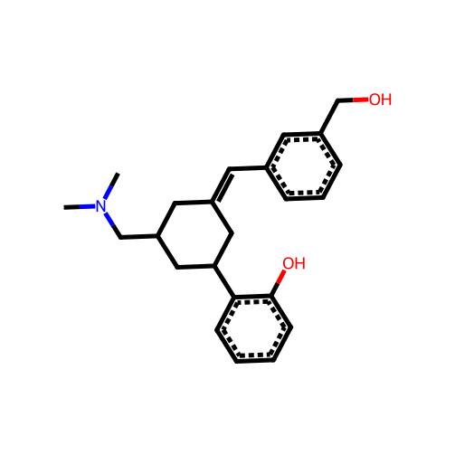 CN(C)CC1CC(=Cc2cccc(CO)c2)CC(c2ccccc2O)C1